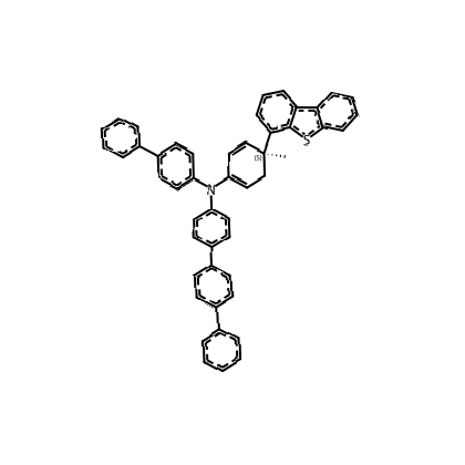 C[C@@]1(c2cccc3c2sc2ccccc23)C=CC(N(c2ccc(-c3ccccc3)cc2)c2ccc(-c3ccc(-c4ccccc4)cc3)cc2)=CC1